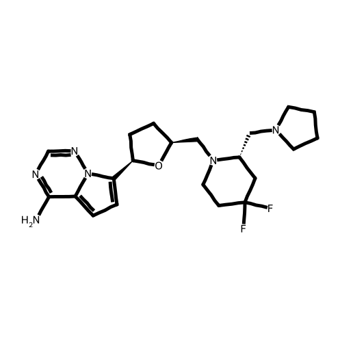 Nc1ncnn2c([C@H]3CC[C@@H](CN4CCC(F)(F)C[C@H]4CN4CCCC4)O3)ccc12